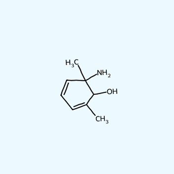 CC1=CC=CC(C)(N)C1O